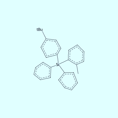 Cc1ccccc1[Si](c1ccccc1)(c1ccccc1)c1ccc(C(C)(C)C)cc1